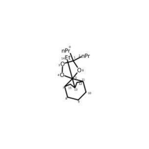 CCCC1(CCC)OOC2(O1)C1CCCC2CC(CC)C1